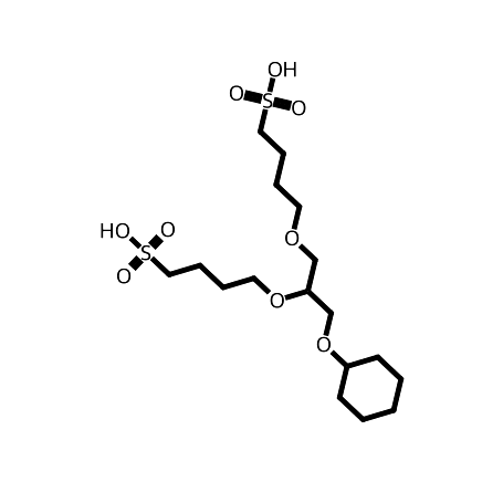 O=S(=O)(O)CCCCOCC(COC1CCCCC1)OCCCCS(=O)(=O)O